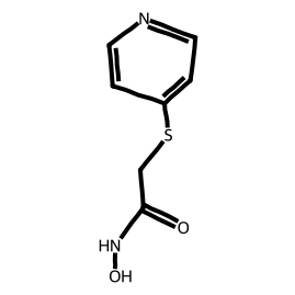 O=C(CSc1ccncc1)NO